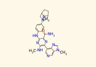 CNc1nc(Nc2ccc(N3CC4CCC(C3)N4C)cc2)c(C(N)=O)nc1-c1cncc2c1ncn2C